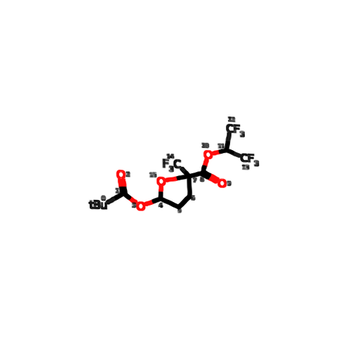 CC(C)(C)C(=O)OC1CCC(C(=O)OC(C(F)(F)F)C(F)(F)F)(C(F)(F)F)O1